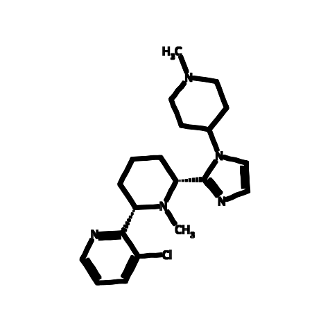 CN1CCC(n2ccnc2[C@H]2CCC[C@@H](c3ncccc3Cl)N2C)CC1